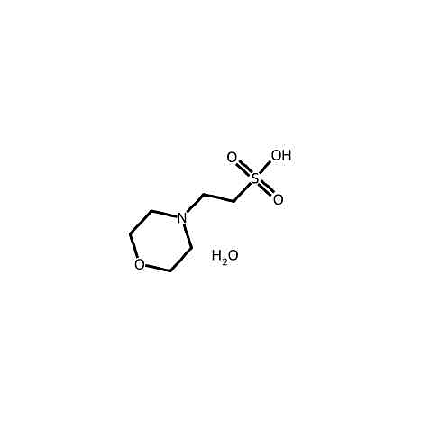 O.O=S(=O)(O)CCN1CCOCC1